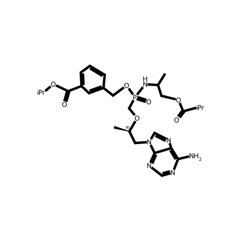 CC(COC(=O)C(C)C)NP(=O)(CO[C@H](C)Cn1cnc2c(N)ncnc21)OCc1cccc(C(=O)OC(C)C)c1